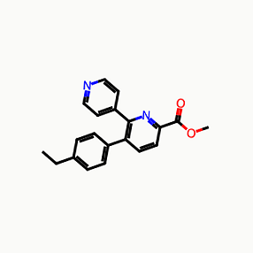 CCc1ccc(-c2ccc(C(=O)OC)nc2-c2ccncc2)cc1